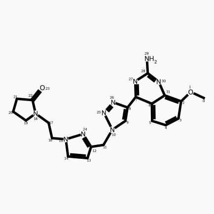 COc1cccc2c(-c3cn(Cc4ccn(CCN5CCCC5=O)n4)nn3)nc(N)nc12